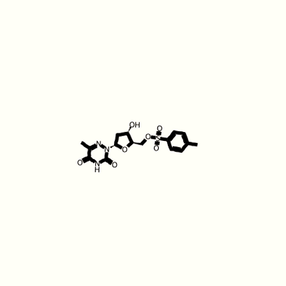 Cc1ccc(S(=O)(=O)OC[C@H]2O[C@H](n3nc(C)c(=O)[nH]c3=O)C[C@@H]2O)cc1